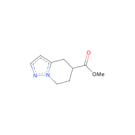 COC(=O)C1CCn2nccc2C1